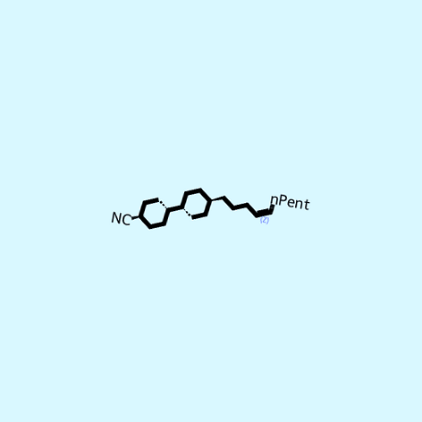 CCCCC/C=C\CCC[C@H]1CC[C@H]([C@H]2CC[C@H](C#N)CC2)CC1